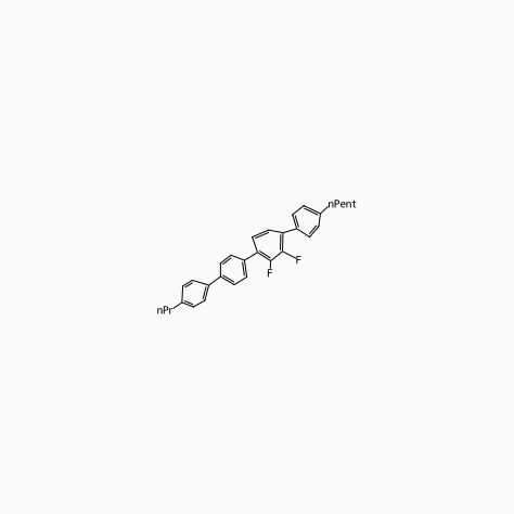 CCCCCc1ccc(-c2ccc(-c3ccc(-c4ccc(CCC)cc4)cc3)c(F)c2F)cc1